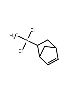 CS(Cl)(Cl)C1CC2C=CC1C2